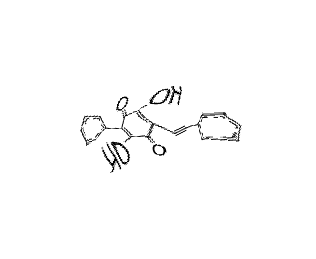 O=C1C(O)=C(c2ccccc2)C(=O)C(O)=C1C#Cc1ccccc1